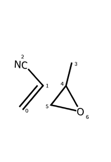 C=CC#N.CC1CO1